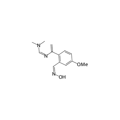 C=C(/N=C\N(C)C)c1ccc(OC)cc1/C=N\O